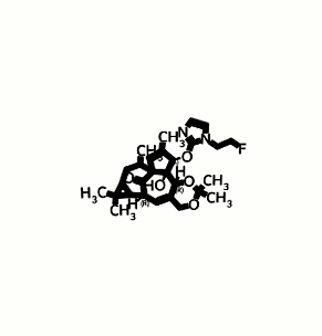 CC1=CC23C(=O)[C@@H](C=C4COC(C)(C)O[C@H]4[C@]2(O)[C@H]1Oc1nccn1CCF)C1C(CC3C)C1(C)C